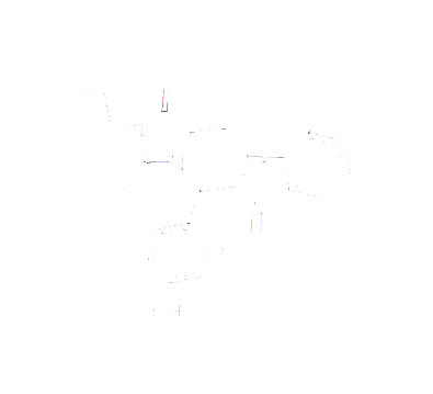 C=CCN1C(=O)C2Cc3c([nH]c4ccccc34)C(c3ccc(O)cc3)N2C1=S